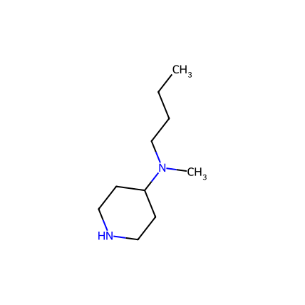 CCCCN(C)C1CCNCC1